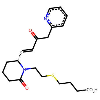 O=C(O)CCCSCCN1C(=O)CCC[C@@H]1/C=C/C(=O)Cc1ccccn1